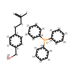 C=C(C)CCc1ccc(CBr)cc1.c1ccc(P(c2ccccc2)c2ccccc2)cc1